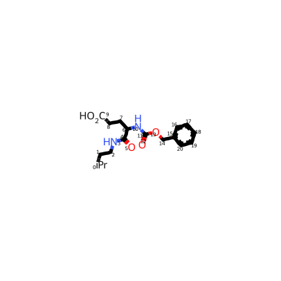 CC(C)CCNC(=O)C(CCC(=O)O)NC(=O)OCc1ccccc1